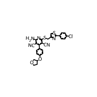 N#Cc1c(N)nc(SCc2csc(-c3ccc(Cl)cc3)n2)c(C#N)c1-c1ccc(OC2CCOC2)cc1